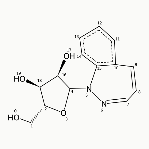 OC[C@H]1OC(N2N=CC=Cc3ccccc32)[C@H](O)[C@@H]1O